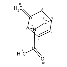 C=C1CC2C=CC1N(C(C)=O)C2